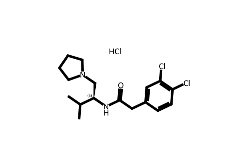 CC(C)[C@@H](CN1CCCC1)NC(=O)Cc1ccc(Cl)c(Cl)c1.Cl